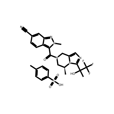 C[C@H]1CN(C(=O)c2c3ccc(C#N)cc3nn2C)Cc2cnc(C(C)(O)C(F)(F)F)n21.Cc1ccc(S(=O)(=O)O)cc1